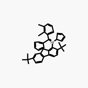 Cc1cccc([C](c2ccccc2)=[Hf]([c]2c(C(C)(C)C)ccc3c2Cc2cc(C(C)(C)C)ccc2-3)[CH]2C=CC=C2)c1C